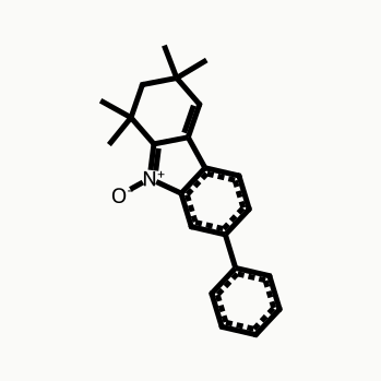 CC1(C)C=C2C(=[N+]([O-])c3cc(-c4ccccc4)ccc32)C(C)(C)C1